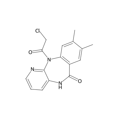 Cc1cc2c(cc1C)N(C(=O)CCl)c1ncccc1NC2=O